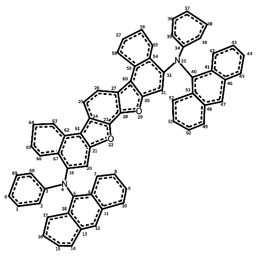 c1ccc(N(c2c3ccccc3cc3ccccc23)c2cc3oc4c(ccc5c4oc4cc(N(c6ccccc6)c6c7ccccc7cc7ccccc67)c6ccccc6c45)c3c3ccccc23)cc1